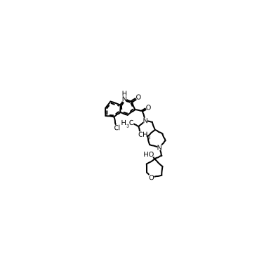 CC(C)N(CC1CCN(CC2(O)CCOCC2)CC1)C(=O)c1cc2c(Cl)cccc2[nH]c1=O